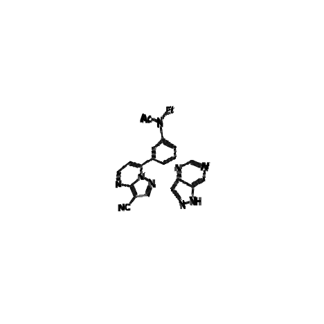 CCN(C(C)=O)c1cccc(-c2ccnc3c(C#N)cnn23)c1.c1ncc2[nH]ncc2n1